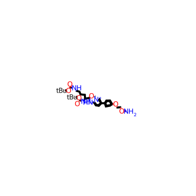 C[n+]1cc(-c2ccc(OCCON)cc2)ccc1NC(=O)C(CCCCNC(=O)OC(C)(C)C)NC(=O)OC(C)(C)C